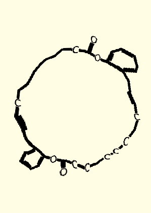 O=C1CCCCCCCCC=CCc2ccccc2OC(=O)CCCCCCCCC=CCc2ccccc2O1